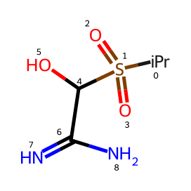 CC(C)S(=O)(=O)C(O)C(=N)N